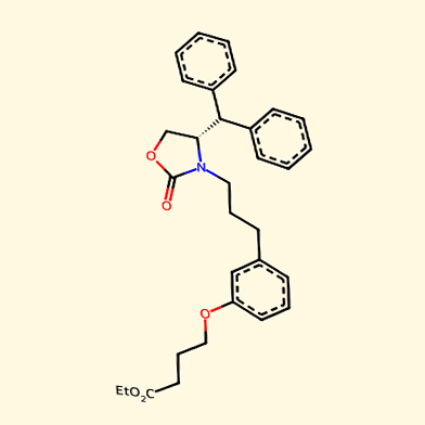 CCOC(=O)CCCOc1cccc(CCCN2C(=O)OC[C@@H]2C(c2ccccc2)c2ccccc2)c1